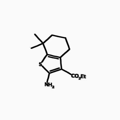 CCOC(=O)c1c(N)sc2c1CCCC2(C)C